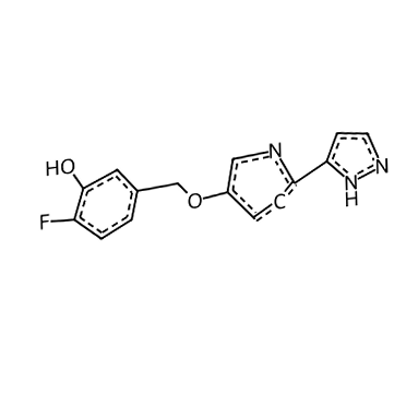 Oc1cc(COc2ccc(-c3ccn[nH]3)nc2)ccc1F